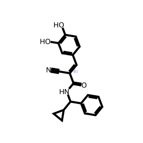 N#C/C(=C\c1ccc(O)c(O)c1)C(=O)NC(c1ccccc1)C1CC1